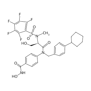 CN([C@H](CO)C(=O)N(Cc1ccc(C2CCCCC2)cc1)c1ccc(C(=O)NO)cc1)S(=O)(=O)c1c(F)c(F)c(F)c(F)c1F